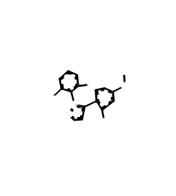 COc1ccc(-c2ccnn2-c2c(Cl)cccc2Cl)c(O)c1